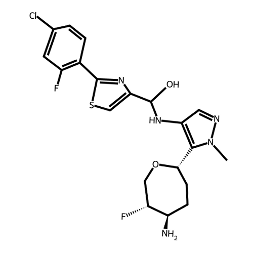 Cn1ncc(NC(O)c2csc(-c3ccc(Cl)cc3F)n2)c1[C@@H]1CC[C@@H](N)[C@H](F)CO1